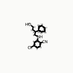 N#Cc1ccc(Cl)cc1NCC(CCO)c1ccccc1